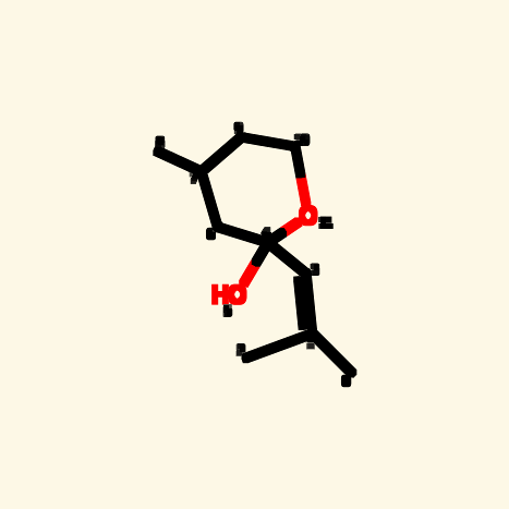 CC(C)=CC1(O)CC(C)CCO1